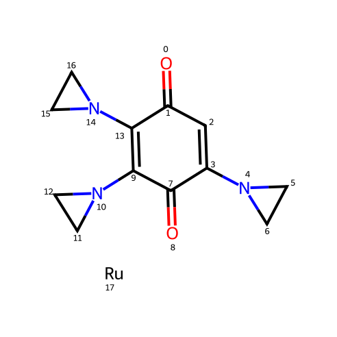 O=C1C=C(N2CC2)C(=O)C(N2CC2)=C1N1CC1.[Ru]